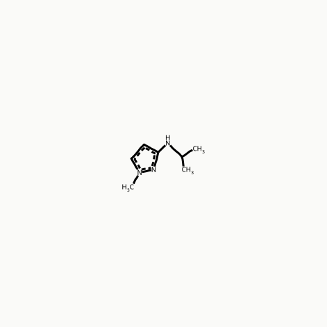 CC(C)Nc1ccn(C)n1